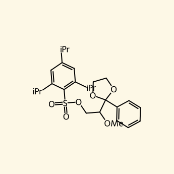 COC(COS(=O)(=O)c1c(C(C)C)cc(C(C)C)cc1C(C)C)C1(c2ccccc2)OCCO1